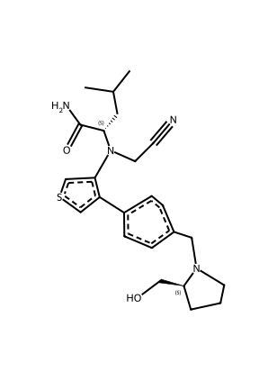 CC(C)C[C@@H](C(N)=O)N(CC#N)c1cscc1-c1ccc(CN2CCC[C@H]2CO)cc1